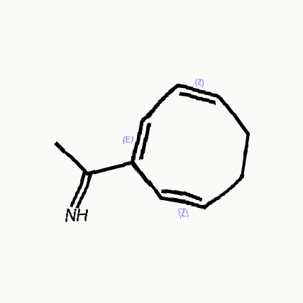 CC(=N)C1=C/C=C\CC/C=C\1